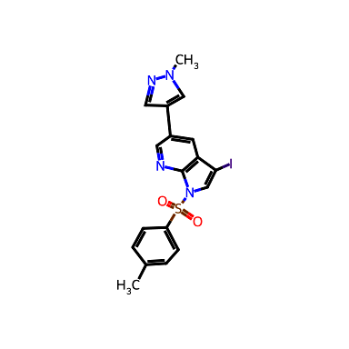 Cc1ccc(S(=O)(=O)n2cc(I)c3cc(-c4cnn(C)c4)cnc32)cc1